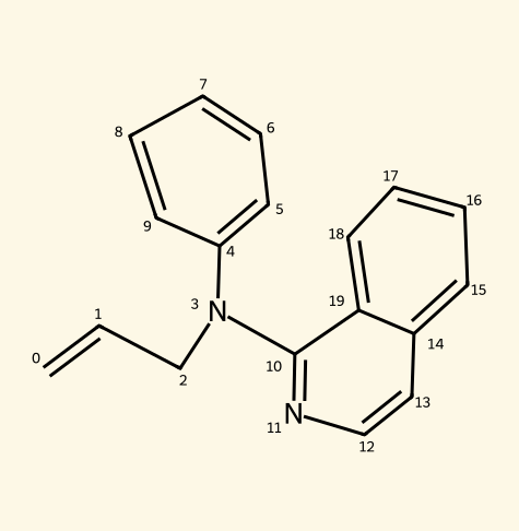 C=CCN(c1ccccc1)c1nccc2ccccc12